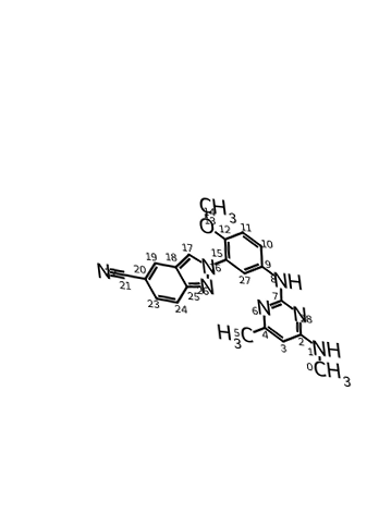 CNc1cc(C)nc(Nc2ccc(OC)c(-n3cc4cc(C#N)ccc4n3)c2)n1